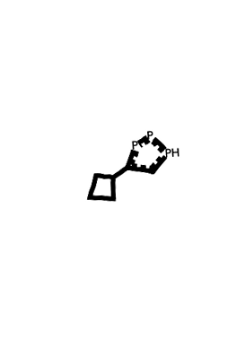 c1[pH]ppc1C1CCC1